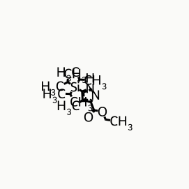 CCOC(=O)c1n[nH]c([Si](C(C)C)(C(C)C)C(C)C)c1C